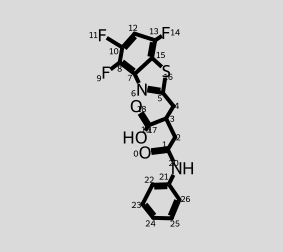 O=C(CC(Cc1nc2c(F)c(F)cc(F)c2s1)C(=O)O)Nc1ccccc1